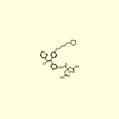 ClC(=C(c1ccccc1)c1ccc(OCCCCN2CCCC2)cc1)c1ccccc1.O=C(O)CC(O)(CC(=O)O)C(=O)O